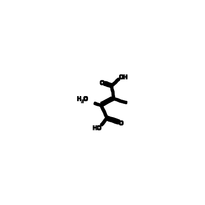 C/C(C(=O)O)=C(/C)C(=O)O.O